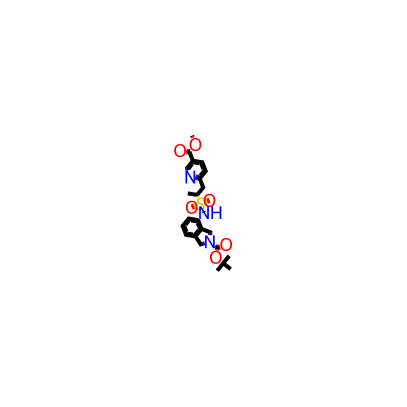 COC(=O)c1ccc(CC(C)S(=O)(=O)Nc2cccc3c2CN(C(=O)OC(C)(C)C)C3)nc1